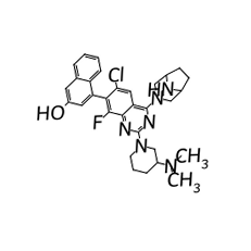 CN(C)C1CCCN(c2nc(N3CC4CCC(C3)N4)c3cc(Cl)c(-c4cc(O)cc5ccccc45)c(F)c3n2)C1